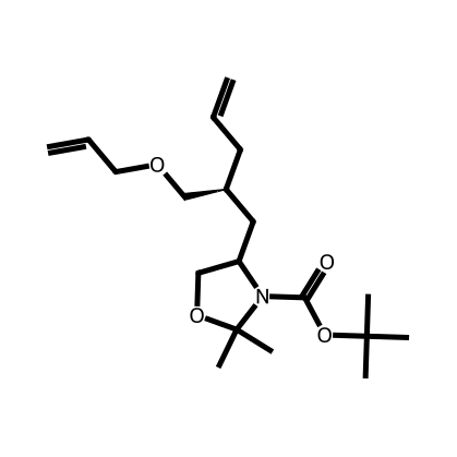 C=CCOC[C@@H](CC=C)CC1COC(C)(C)N1C(=O)OC(C)(C)C